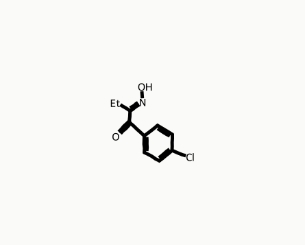 CCC(=NO)C(=O)c1ccc(Cl)cc1